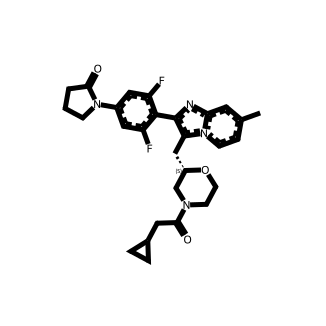 Cc1ccn2c(C[C@H]3CN(C(=O)CC4CC4)CCO3)c(-c3c(F)cc(N4CCCC4=O)cc3F)nc2c1